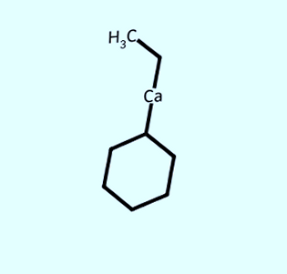 C[CH2][Ca][CH]1CCCCC1